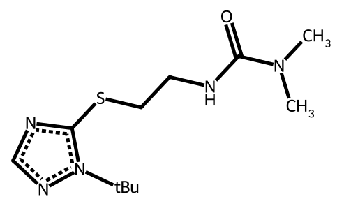 CN(C)C(=O)NCCSc1ncnn1C(C)(C)C